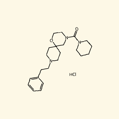 Cl.O=C(N1CCCCC1)N1CCOC2(CCN(CCc3ccccc3)CC2)C1